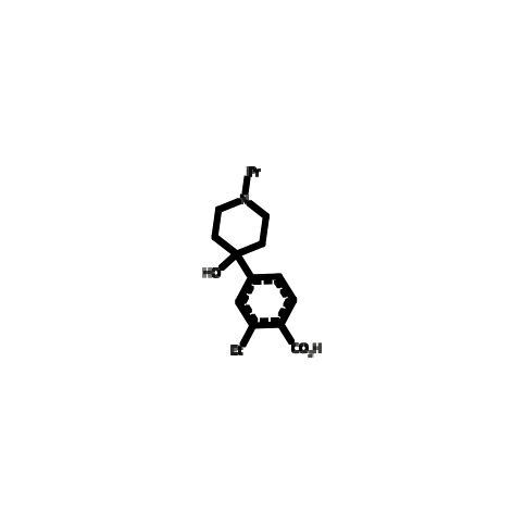 CCc1cc(C2(O)CCN(C(C)C)CC2)ccc1C(=O)O